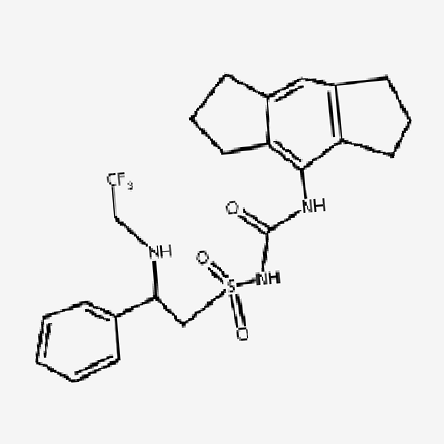 O=C(Nc1c2c(cc3c1CCC3)CCC2)NS(=O)(=O)CC(NCC(F)(F)F)c1ccccc1